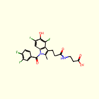 Cc1c(CCC(=O)NCCC(=O)O)c2c(F)c(O)c(F)cc2n1C(=O)c1ccc(F)c(F)c1